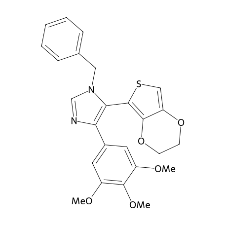 COc1cc(-c2ncn(Cc3ccccc3)c2-c2scc3c2OCCO3)cc(OC)c1OC